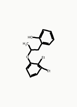 CCc1cccc(OC(C)Cc2ccccc2O)c1CC